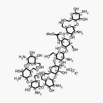 COC(=O)N[C@H]1[C@H](O[C@H]2[C@H](O)[C@@H](N)[C@H](O[C@H]3[C@H](O)[C@@H](N)[C@H](O)O[C@@H]3CO)O[C@@H]2CO)O[C@H](CO)[C@@H](O[C@@H]2O[C@H](CO)[C@@H](O[C@@H]3O[C@H](CO)[C@@H](O[C@@H]4O[C@H](CO)[C@@H](O[C@@H]5O[C@H](CO)[C@@H](O[C@@H]6O[C@H](CO)[C@@H](O[C@@H]7O[C@H](CO)[C@@H](O)[C@H](O)[C@H]7N)[C@H](O)[C@H]6N)[C@H](O)[C@H]5N)[C@H](O)[C@H]4N)[C@H](O)[C@H]3N)[C@H](O)[C@H]2N)[C@@H]1O.Cl.[Cl-].[K+]